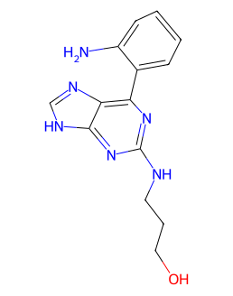 Nc1ccccc1-c1nc(NCCCO)nc2[nH]cnc12